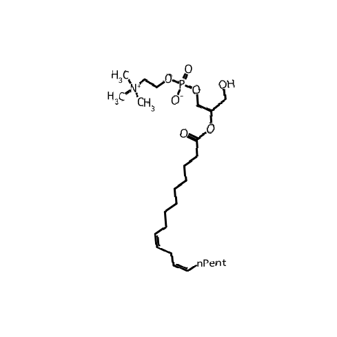 CCCCC/C=C\C/C=C\CCCCCCCC(=O)OC(CO)COP(=O)([O-])OCC[N+](C)(C)C